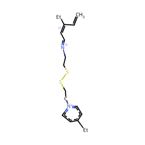 C=C/C(=C\C=N\CCSSCC[n+]1ccc(CC)cc1)CC